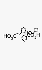 O=C(O)C1CCSC1.O=C(O)CCC1CCCC1.OCC1CCC1